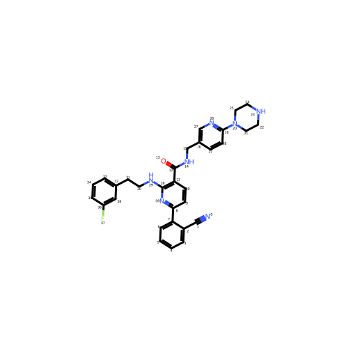 N#Cc1ccccc1-c1ccc(C(=O)NCc2ccc(N3CCNCC3)nc2)c(NCCc2cccc(F)c2)n1